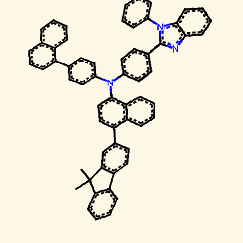 CC1(C)c2ccccc2-c2ccc(-c3ccc(N(c4ccc(-c5cccc6ccccc56)cc4)c4ccc(-c5nc6ccccc6n5-c5ccccc5)cc4)c4ccccc34)cc21